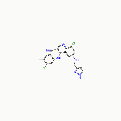 N#Cc1cnc2c(Cl)cc(NCc3cc[nH]n3)cc2c1Nc1ccc(F)c(Cl)c1